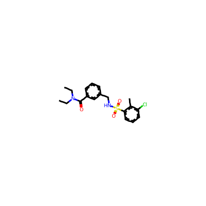 CCN(CC)C(=O)c1cccc(CNS(=O)(=O)c2cccc(Cl)c2C)c1